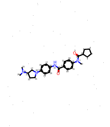 CN(C(=O)C1CCCC1)c1ccc(C(=O)Nc2ccc(N3CCC(N(C)C)C3)cc2)cc1